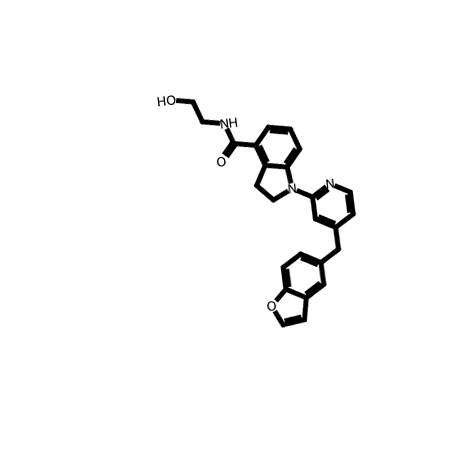 O=C(NCCO)c1cccc2c1CCN2c1cc(Cc2ccc3occc3c2)ccn1